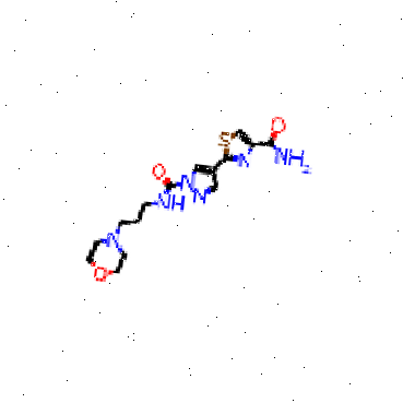 NC(=O)c1csc(-c2cnn(C(=O)NCCCN3CCOCC3)c2)n1